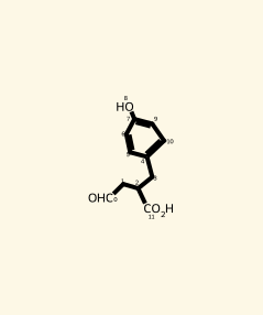 O=CCC(Cc1ccc(O)cc1)C(=O)O